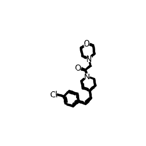 O=C(CN1CCOCC1)N1CCC(/C=C\c2ccc(Cl)cc2)CC1